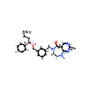 CNCCC(OCc1cccc(CN2CCN(C)c3nc(C)ncc3C2=O)c1)c1ccccc1